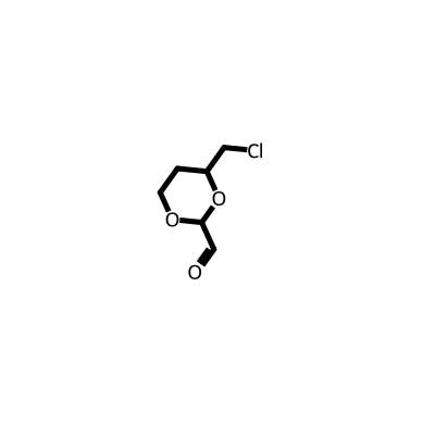 O=CC1OCCC(CCl)O1